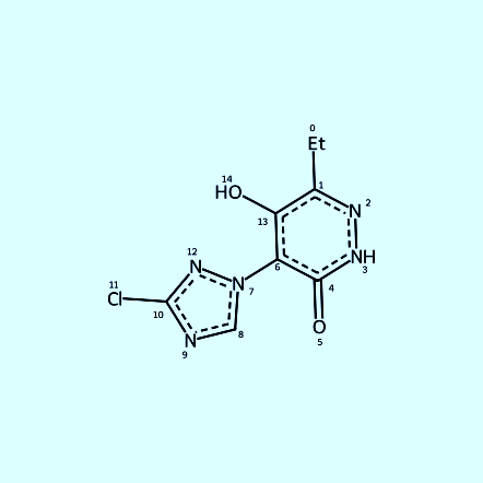 CCc1n[nH]c(=O)c(-n2cnc(Cl)n2)c1O